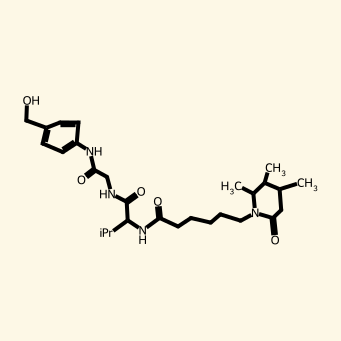 CC(C)C(NC(=O)CCCCCN1C(=O)CC(C)C(C)C1C)C(=O)NCC(=O)Nc1ccc(CO)cc1